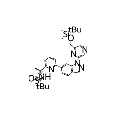 C[C@H](N[S@+]([O-])C(C)(C)C)c1cccc(-c2ccc3cnn(-c4cncc(CO[Si](C)(C)C(C)(C)C)n4)c3c2)n1